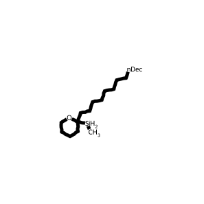 CCCCCCCCCCCCCCCCCCC1([SiH2]C)CCCCO1